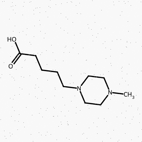 CN1CCN(CCCCC(=O)O)CC1